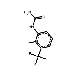 NC(=O)Nc1cccc(C(F)(F)F)c1F